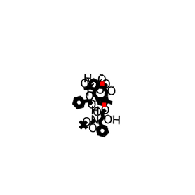 CO[C@H]1C(=O)[C@]2(C)[C@@H](OC)C[C@H]3OC[C@@]3(OC(C)=O)[C@H]2[C@H](OC(=O)c2ccccc2)[C@]2(C)C[C@H](OC(=O)[C@H](O)[C@@H](NC(=O)OC(C)(C)C)c3ccccc3)C(C)=C1C2(C)C